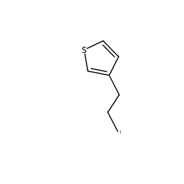 [CH]CCc1ccsc1